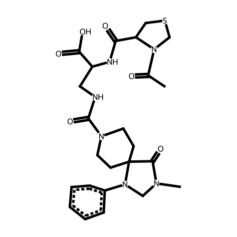 CC(=O)N1CSCC1C(=O)NC(CNC(=O)N1CCC2(CC1)C(=O)N(C)CN2c1ccccc1)C(=O)O